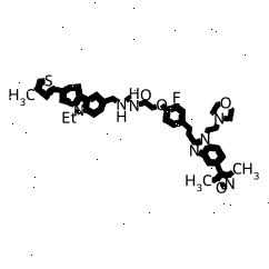 CCn1c2ccc(CNCNC(=O)COc3ccc(CCc4nc5cc(-c6c(C)noc6C)ccc5n4CCN4CCOCC4)cc3F)cc2c2ccc(-c3cc(C)cs3)cc21